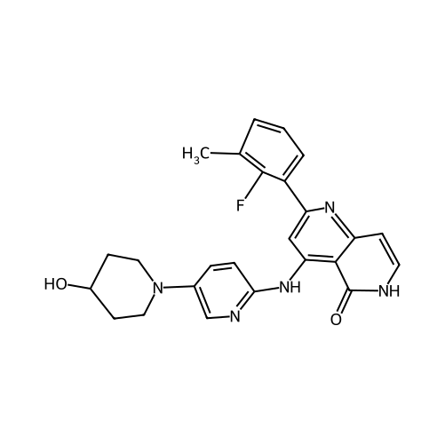 Cc1cccc(-c2cc(Nc3ccc(N4CCC(O)CC4)cn3)c3c(=O)[nH]ccc3n2)c1F